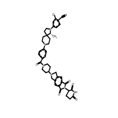 C[C@H]1N(c2ccc(C#N)c(Cl)c2)CCC12CCN(c1ccc(C(=O)N3CCC(N4Cc5cc6c(cc5C4)C(=O)N(C4CCC(=O)NC4=O)C6=O)CC3)cc1)CC2